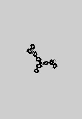 c1ccc(-c2ccc(N(c3ccc(-c4ccc(-n5c6ccccc6c6ccccc65)cc4)cc3)c3ccc(-c4ccc5oc6ccccc6c5c4)cc3)cc2)cc1